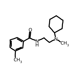 Cc1cccc(C(=O)NCCN(C)C2CCCCC2)c1